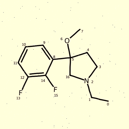 CCN1CCC(OC)(c2cccc(F)c2F)C1